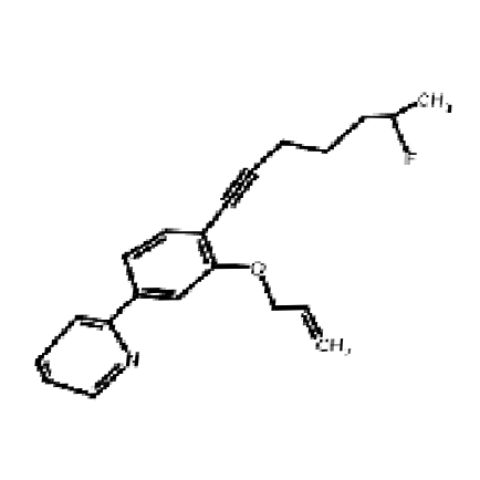 C=CCOc1cc(-c2ccccn2)ccc1C#CCCCC(C)F